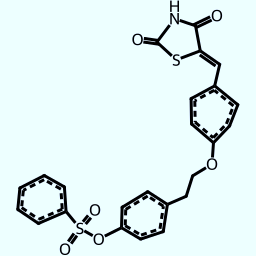 O=C1NC(=O)/C(=C/c2ccc(OCCc3ccc(OS(=O)(=O)c4ccccc4)cc3)cc2)S1